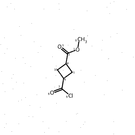 COC(=O)C1CC(C(=O)Cl)C1